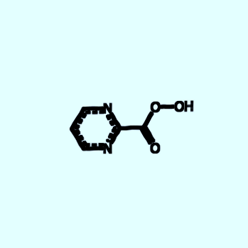 O=C(OO)c1ncccn1